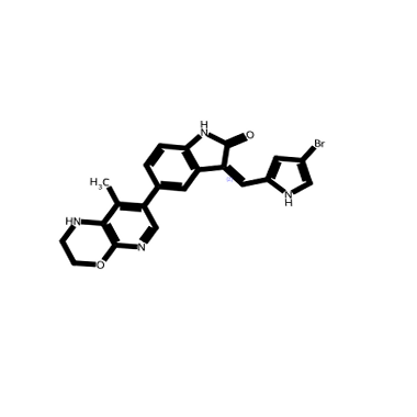 Cc1c(-c2ccc3c(c2)/C(=C/c2cc(Br)c[nH]2)C(=O)N3)cnc2c1NCCO2